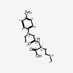 CCN(CC(=O)N[C@@H](CCSC)C(=O)O)c1ccc(OC)cc1